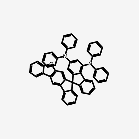 c1ccc(N(c2ccccc2)c2cc(N(c3ccccc3)c3ccccc3)c3c(c2)C2(c4ccccc4-c4cc5c(cc42)oc2ccccc25)c2ccccc2-3)cc1